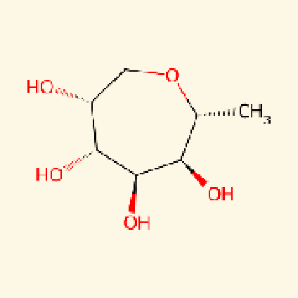 C[C@H]1OC[C@@H](O)[C@@H](O)[C@H](O)[C@@H]1O